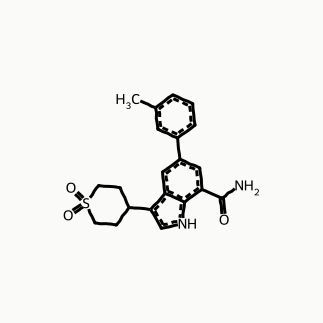 Cc1cccc(-c2cc(C(N)=O)c3[nH]cc(C4CCS(=O)(=O)CC4)c3c2)c1